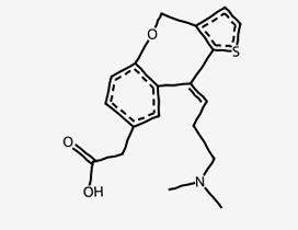 CN(C)CC/C=C1\c2cc(CC(=O)O)ccc2OCc2ccsc21